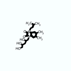 CC(C)=CCn1c(=O)c(=O)n(CC(O)CC(O)CO)c2cc(C)c(C)cc21